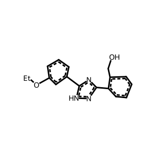 CCOc1cccc(-c2nc(-c3ccccc3CO)n[nH]2)c1